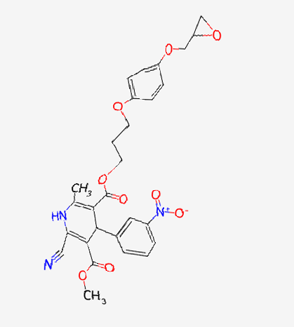 COC(=O)C1=C(C#N)NC(C)=C(C(=O)OCCCOc2ccc(OCC3CO3)cc2)C1c1cccc([N+](=O)[O-])c1